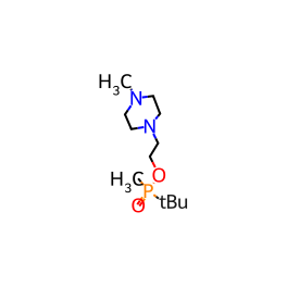 CN1CCN(CCOP(C)(=O)C(C)(C)C)CC1